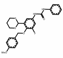 COc1ccc(COc2c(F)cc(NC(=O)Nc3ccccc3)cc2C2SCCCS2)cc1